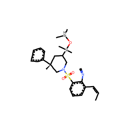 C=Nc1c(/C=C\C)cccc1S(=O)(=O)N1CC([Si](C)(C)O[SiH](C)C)C[C@@](C)(c2ccccc2)C1